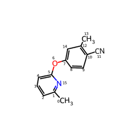 Cc1cccc(Oc2ccc(C#N)c(C)c2)n1